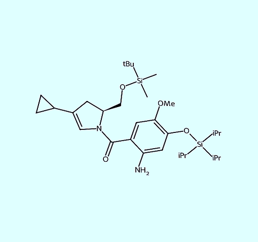 COc1cc(C(=O)N2C=C(C3CC3)C[C@H]2CO[Si](C)(C)C(C)(C)C)c(N)cc1O[Si](C(C)C)(C(C)C)C(C)C